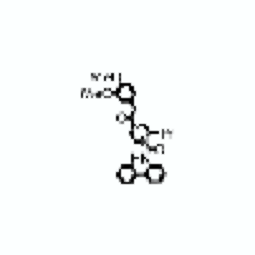 COc1ccc(CC(=O)N2CCN(C(=O)Nc3ccccc3-c3ccccc3)C(C(C)C)C2)cc1OC